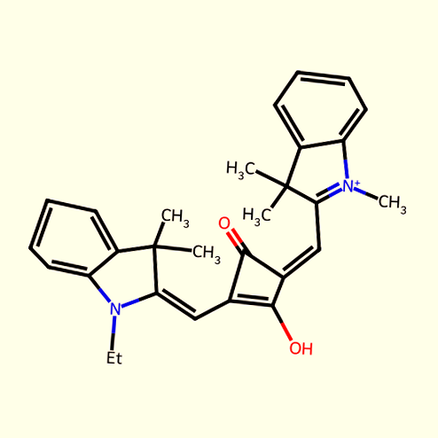 CCN1/C(=C/C2=C(O)C(=C/C3=[N+](C)c4ccccc4C3(C)C)/C2=O)C(C)(C)c2ccccc21